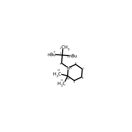 CCCCC(C)(CCCC)CN1CCCCC1(C)C